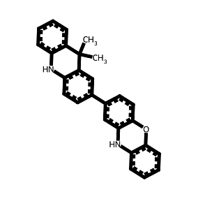 CC1(C)c2ccccc2Nc2ccc(-c3ccc4c(c3)Nc3ccccc3O4)cc21